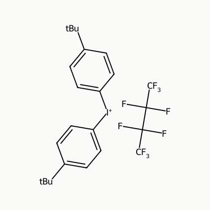 CC(C)(C)c1ccc([I+]c2ccc(C(C)(C)C)cc2)cc1.FC(F)(F)C(F)(F)C(F)(F)C(F)(F)F